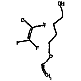 C=COCCCCO.FC(F)=C(F)Cl